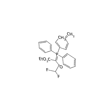 C=C/C=C\C(=C/C)P(=C(C(=O)OCC)C(=O)C(F)F)(c1ccccc1)c1ccccc1